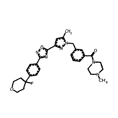 Cc1cc(-c2nc(-c3ccc(C4(F)CCOCC4)cc3)no2)nn1Cc1cccc(C(=O)N2CCN(C)CC2)c1